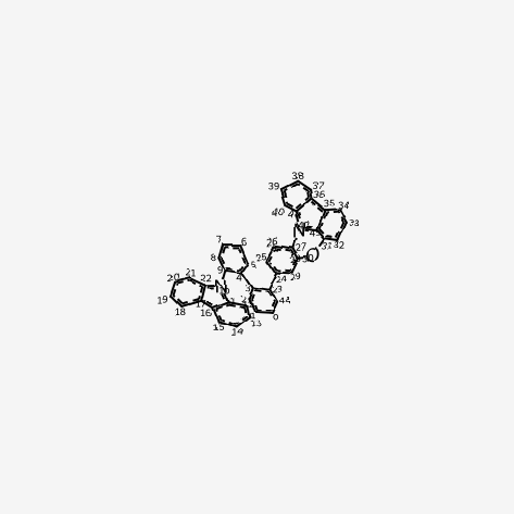 c1ccc(-c2ccccc2-n2c3ccccc3c3ccccc32)c(-c2ccc3c(c2)Oc2cccc4c5ccccc5n-3c24)c1